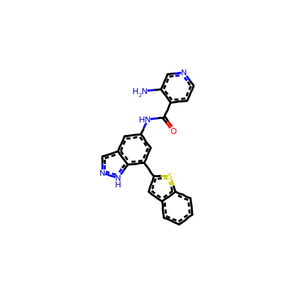 Nc1cnccc1C(=O)Nc1cc(-c2cc3ccccc3s2)c2[nH]ncc2c1